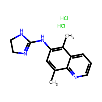 Cc1c(NC2=NCCN2)cc(C)c2ncccc12.Cl.Cl